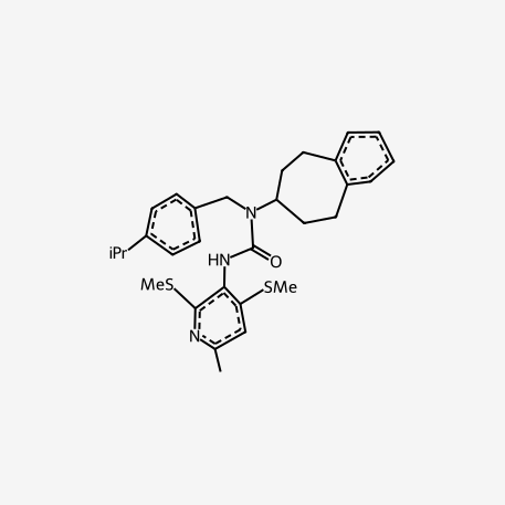 CSc1cc(C)nc(SC)c1NC(=O)N(Cc1ccc(C(C)C)cc1)C1CCc2ccccc2CC1